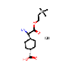 C[Si](C)(C)CCOC(=O)C(N)[C@H]1CC[C@H](C(=O)O)CC1.[KH]